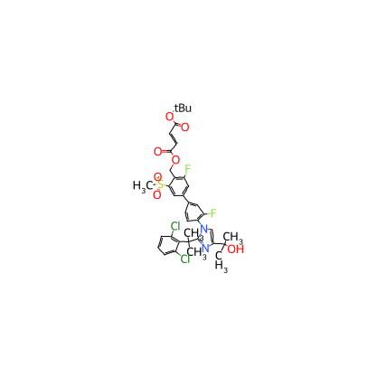 CC(C)(C)OC(=O)/C=C/C(=O)OCc1c(F)cc(-c2ccc(-n3cc(C(C)(C)O)nc3C(C)(C)c3c(Cl)cccc3Cl)c(F)c2)cc1S(C)(=O)=O